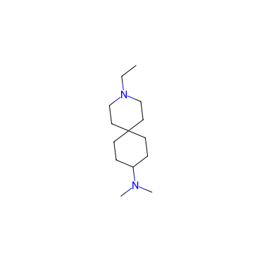 CCN1CCC2(CCC(N(C)C)CC2)CC1